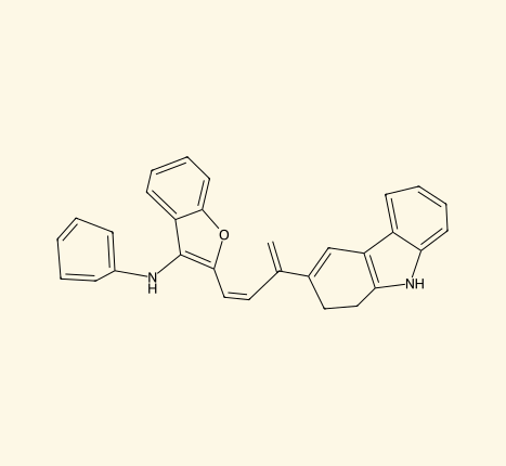 C=C(/C=C\c1oc2ccccc2c1Nc1ccccc1)C1=Cc2c([nH]c3ccccc23)CC1